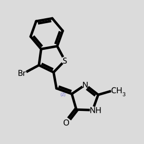 CC1=N/C(=C\c2sc3ccccc3c2Br)C(=O)N1